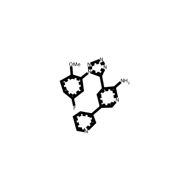 COc1ccc(F)cc1-n1nnnc1-c1cc(-c2cccnc2)cnc1N